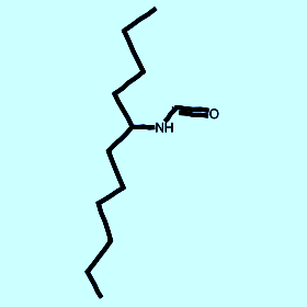 CCCCCCC(CCCC)N[C]=O